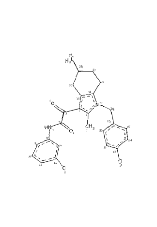 Cc1c(C(=O)C(=O)Nc2cccc(Cl)c2)c2c(n1Cc1ccc(Cl)cc1)CCC(C)C2